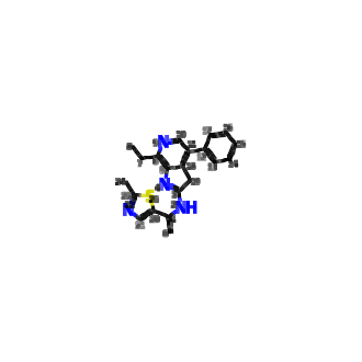 C=C(NC1=Nc2c(CC)ncc(-c3ccccc3)c2C1)c1cnc(C)s1